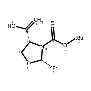 C=C(O)[C@H]1CO[C@@H](C(C)C)N1C(=O)OC(C)(C)C